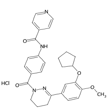 COc1ccc(C2=NN(C(=O)c3ccc(NC(=O)c4ccncc4)cc3)CCC2)cc1OC1CCCC1.Cl